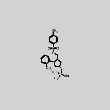 Cc1ccc(S(=O)(=O)OC[C@H]2C[C@@H](O[Si](C)(C)C(C)(C)C)CN2c2ccccc2[N+](=O)[O-])cc1